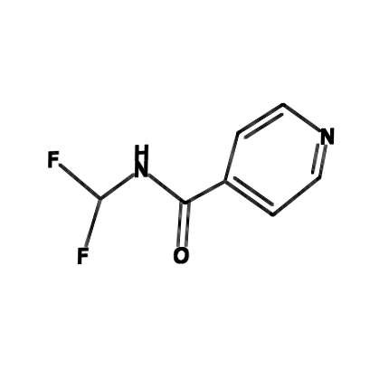 O=C(NC(F)F)c1ccncc1